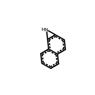 c1ccc2c3c(ccc2c1)N3